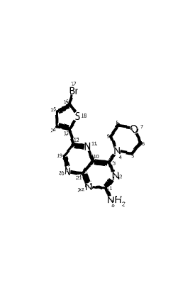 Nc1nc(N2CCOCC2)c2nc(-c3ccc(Br)s3)cnc2n1